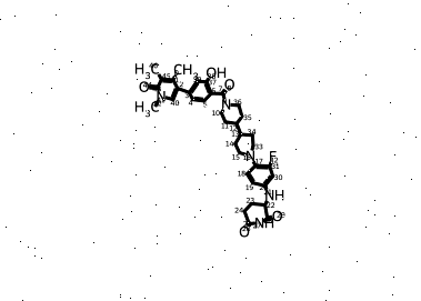 Cc1c(-c2ccc(C(=O)N3CCC(C4CCN(c5ccc(NC6CCC(=O)NC6=O)cc5F)CC4)CC3)c(O)c2)cn(C)c(=O)c1C